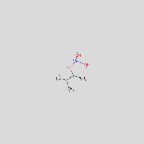 CC(C)C(C)ON(O)O